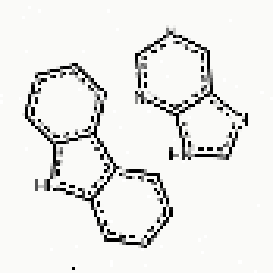 c1ccc2c(c1)[nH]c1ccccc12.c1ncc2nc[nH]c2n1